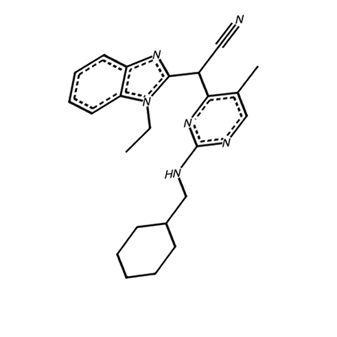 CCn1c(C(C#N)c2nc(NCC3CCCCC3)ncc2C)nc2ccccc21